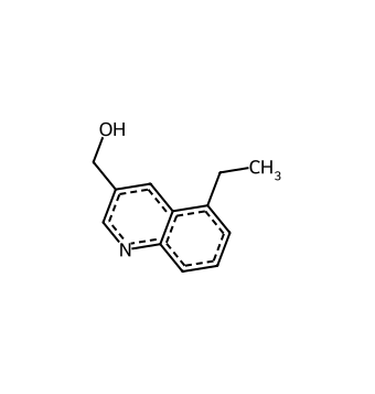 CCc1cccc2ncc(CO)cc12